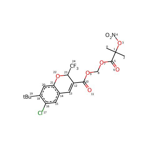 CC(C)(O[N+](=O)[O-])C(=O)OCOC(=O)C1=Cc2cc(Cl)c(C(C)(C)C)cc2OC1C(F)(F)F